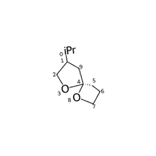 CC(C)C1CO[C@@]2(CCCO2)C1